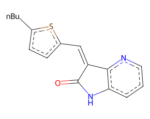 CCCCc1ccc(C=C2C(=O)Nc3cccnc32)s1